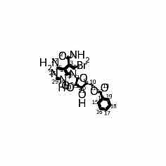 NC(=O)c1c(Br)n([C@H]2O[C@@H](COC(=O)c3ccccc3)[C@H](O)[C@@H]2O)c2c1c(N)nc[n+]2[O-]